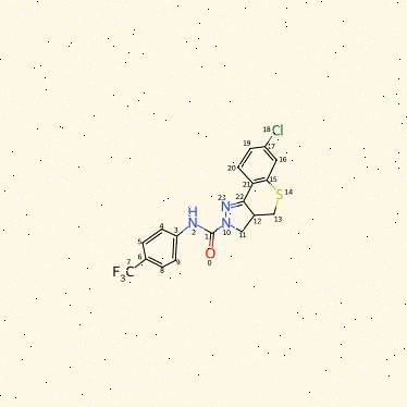 O=C(Nc1ccc(C(F)(F)F)cc1)N1CC2CSc3cc(Cl)ccc3C2=N1